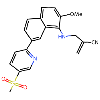 C=C(C#N)CNc1c(OC)ccc2ccc(-c3ccc(S(C)(=O)=O)cn3)cc12